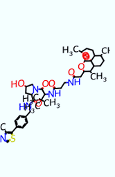 Cc1ncsc1-c1ccc(CNC(=O)C2CC(O)CN2C(=O)C(NC(=O)CCNC(=O)CC2OC3OC4(C)CCC5C(C)CCC(C2C)C35OO4)C(C)(C)C)cc1